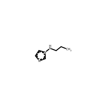 CCCNn1ccnc1